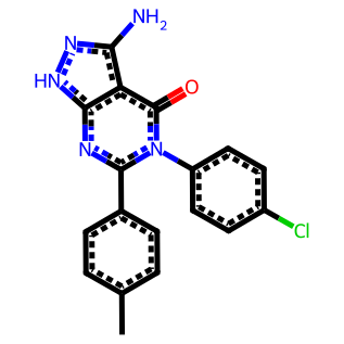 Cc1ccc(-c2nc3[nH]nc(N)c3c(=O)n2-c2ccc(Cl)cc2)cc1